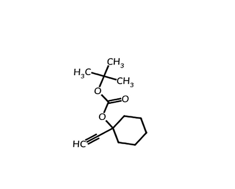 C#CC1(OC(=O)OC(C)(C)C)CCCCC1